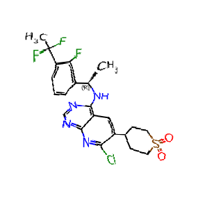 C[C@@H](Nc1ncnc2nc(Cl)c(C3CCS(=O)(=O)CC3)cc12)c1cccc(C(C)(F)F)c1F